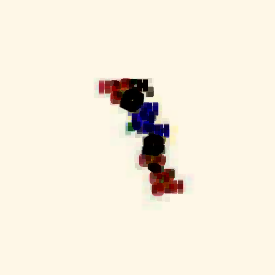 Cc1cc(Nc2nc(F)nc(Nc3ccc(S(=O)(=O)CCOS(=O)(=O)O)cc3)n2)ccc1S(=O)(=O)O